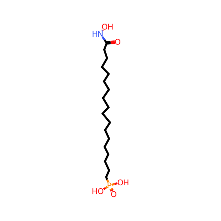 O=C(CCCCCCCCCCCCCCCCCP(=O)(O)O)NO